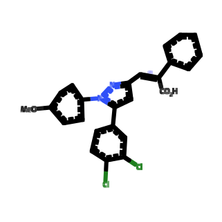 COc1ccc(-n2nc(/C=C(\C(=O)O)c3ccccc3)cc2-c2ccc(Cl)c(Cl)c2)cc1